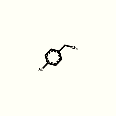 CC(=O)c1ccc(CC(F)(F)F)cc1